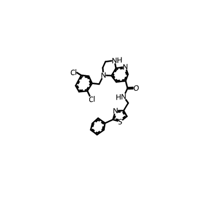 O=C(NCc1csc(-c2ccccc2)n1)c1cnc2c(c1)N(Cc1cc(Cl)ccc1Cl)CCN2